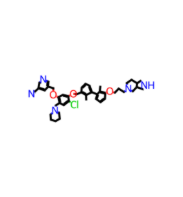 Cc1c(COc2cc(OCc3cncc(C#N)c3)c(CN3CCCCC3)cc2Cl)cccc1-c1cccc(OCCCN2CCC3CNCC3C2)c1C